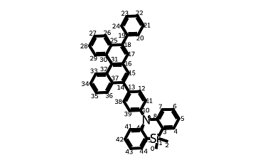 C[Si]1(C)c2ccccc2N(c2ccc(-c3cc4cc(-c5ccccc5)c5ccccc5c4c4ccccc34)cc2)c2ccccc21